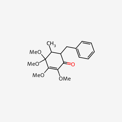 COC1=C(OC)C(OC)(OC)C(C)C(Cc2ccccc2)C1=O